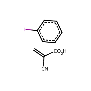 C=C(C#N)C(=O)O.Ic1ccccc1